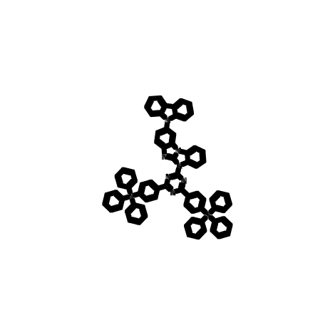 c1ccc(S(c2ccccc2)(c2ccccc2)c2ccc(-c3nc(-c4ccc(S(c5ccccc5)(c5ccccc5)c5ccccc5)cc4)nc(-n4c5ccccc5n5c6cc(-n7c8ccccc8c8ccccc87)ccc6nc45)n3)cc2)cc1